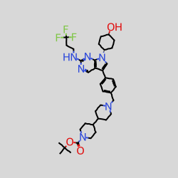 CC(C)(C)OC(=O)N1CCC(C2CCN(Cc3ccc(-c4cn([C@H]5CC[C@H](O)CC5)c5nc(NCCC(F)(F)F)ncc45)cc3)CC2)CC1